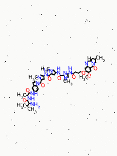 C=C1C[C@H]2C=Nc3cc(OCCCC(=O)Nc4cn(C)c(C(=O)Nc5cc(C(=O)Nc6cc(C(=O)n7ccc8cc(NC(=O)C(C)NC(=O)C(N)C(C)C)ccc87)n(C)c6)n(C)c5)n4)c(OC)cc3C(=O)N2C1